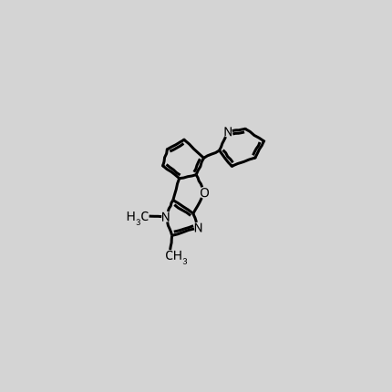 Cc1nc2oc3c(-c4ccccn4)cccc3c2n1C